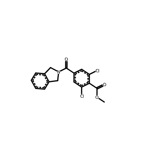 COC(=O)c1c(Cl)cc(C(=O)N2Cc3ccccc3C2)cc1Cl